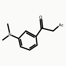 CC(=O)CC(=O)c1cccc(N(C)C)c1